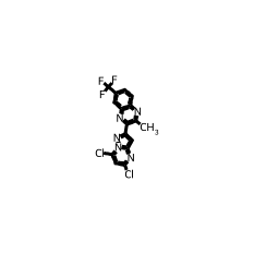 Cc1nc2ccc(C(F)(F)F)cc2nc1-c1cc2nc(Cl)cc(Cl)n2n1